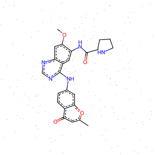 COc1cc2ncnc(Nc3ccc4c(=O)cc(C)oc4c3)c2cc1NC(=O)C1CCCN1